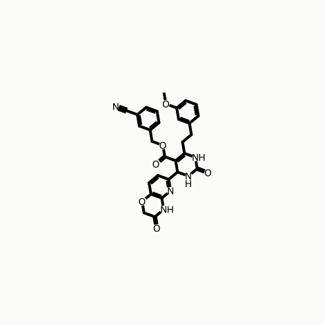 COc1cccc(CCC2=C(C(=O)OCc3cccc(C#N)c3)C(c3ccc4c(n3)NC(=O)CO4)NC(=O)N2)c1